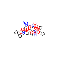 C[C@H]([C@@H]1CC[C@@H](N=[N+]=[N-])[C@@H](O[C@H]2[C@H](O)[C@@H](O)[C@H](NC(=O)OCc3ccccc3)[C@@H](O)[C@@H]2NC(=O)OCc2ccccc2)O1)N(Cc1ccccc1)C(=O)OCc1ccccc1